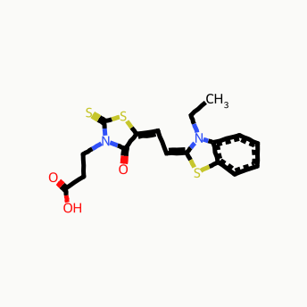 CCN1/C(=C\C=C2\SC(=S)N(CCC(=O)O)C2=O)Sc2ccccc21